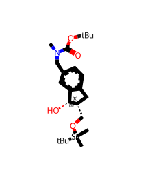 CN(Cc1ccc2c(c1)[C@@H](O)[C@@H](CO[Si](C)(C)C(C)(C)C)C2)C(=O)OC(C)(C)C